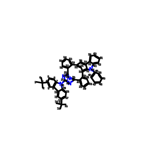 CC(C)(C)c1ccc2c(c1)c1cc(C(C)(C)C)ccc1n2-c1nc2nc(n1)c1ccccc1c1cc(cc3c4ccccc4n(-c4ccccc4)c13)c1ccccc21